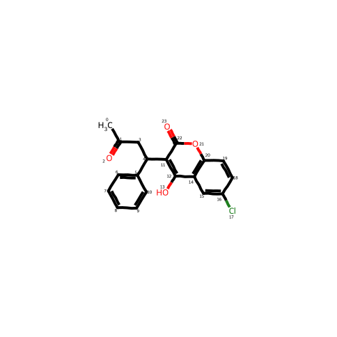 CC(=O)CC(c1ccccc1)c1c(O)c2cc(Cl)ccc2oc1=O